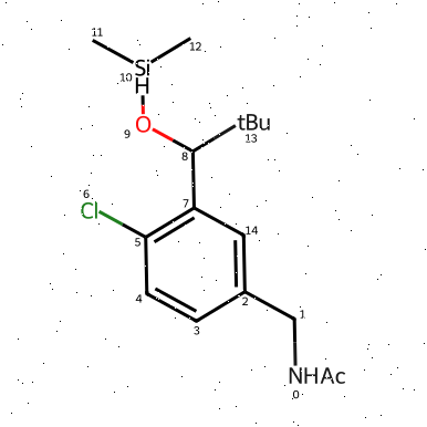 CC(=O)NCc1ccc(Cl)c(C(O[SiH](C)C)C(C)(C)C)c1